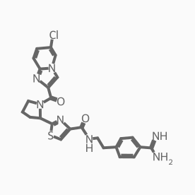 N=C(N)c1ccc(CCNC(=O)c2csc(C3CCCN3C(=O)c3cn4cc(Cl)ccc4n3)n2)cc1